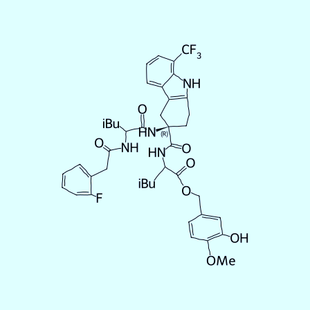 CCC(C)C(NC(=O)Cc1ccccc1F)C(=O)N[C@]1(C(=O)NC(C(=O)OCc2ccc(OC)c(O)c2)C(C)CC)CCc2[nH]c3c(C(F)(F)F)cccc3c2C1